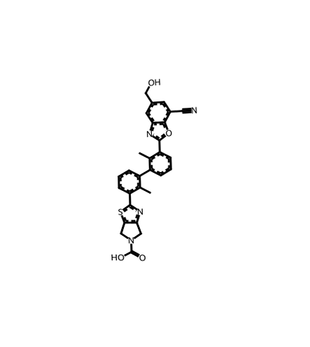 Cc1c(-c2nc3cc(CO)cc(C#N)c3o2)cccc1-c1cccc(-c2nc3c(s2)CN(C(=O)O)C3)c1C